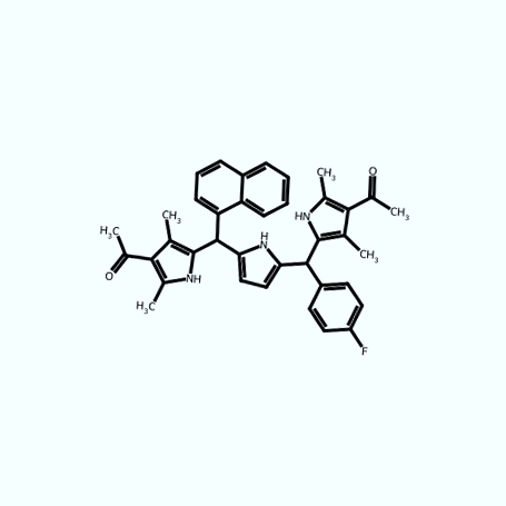 CC(=O)c1c(C)[nH]c(C(c2ccc(F)cc2)c2ccc(C(c3[nH]c(C)c(C(C)=O)c3C)c3cccc4ccccc34)[nH]2)c1C